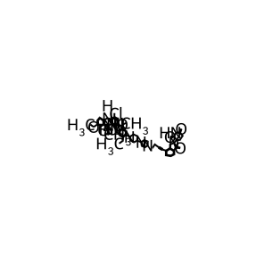 CCc1cc(Nc2ncc(Cl)c(Nc3ccc(OC)cc3NS(C)(=O)=O)n2)c(OC)cc1N1CCC(N2CCN(CCC#Cc3cccc4c3CN(C3CCC(=O)NC3=O)C4=O)CC2)CC1